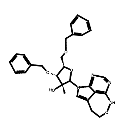 C[C@]1(O)C(n2cc3c4c(ncnc42)NOCC3)O[C@H](COCc2ccccc2)[C@H]1OCc1ccccc1